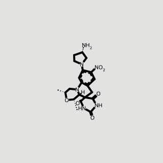 C[C@@H]1CN2c3cc(N4CC[C@H](N)C4)c([N+](=O)[O-])cc3CC3(C(=O)NC(=O)NC3=O)[C@H]2[C@H](C)O1